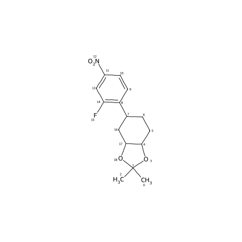 CC1(C)OC2CCC(c3ccc([N+](=O)[O-])cc3F)CC2O1